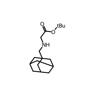 CC(C)(C)OC(=O)CNCC12CC3CC(CC(C3)C1)C2